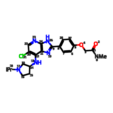 CNC(=O)COc1ccc(-c2nc3c(N[C@H]4CCN(C(C)C)C4)c(Cl)cnc3[nH]2)cc1